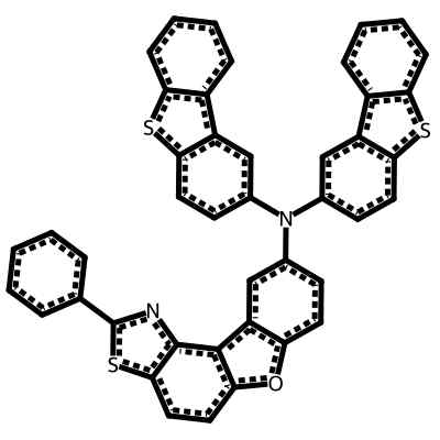 c1ccc(-c2nc3c(ccc4oc5ccc(N(c6ccc7sc8ccccc8c7c6)c6ccc7sc8ccccc8c7c6)cc5c43)s2)cc1